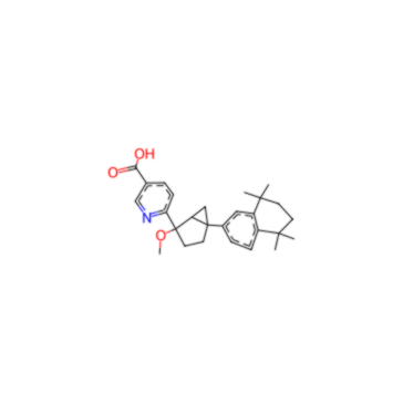 COC1(c2ccc(C(=O)O)cn2)CCC2(c3ccc4c(c3)C(C)(C)CCC4(C)C)CC21